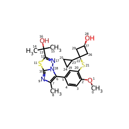 COc1ccc(-c2c(C)nc3sc(C(C)(C)O)nn23)cc1S[C@]1(C2CC2)C[C@H](O)C1